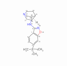 CC(C)(C)c1ccc2c(N[C@H]3CN4CCC3CC4)noc2c1